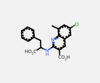 Cc1cc(Cl)cc2cc(C(=O)O)c(NC(Cc3ccccc3)C(=O)O)nc12